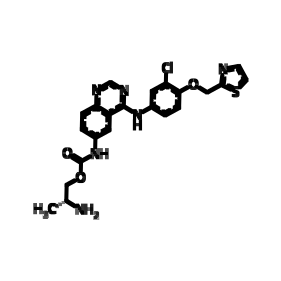 C[C@@H](N)COC(=O)Nc1ccc2ncnc(Nc3ccc(OCc4nccs4)c(Cl)c3)c2c1